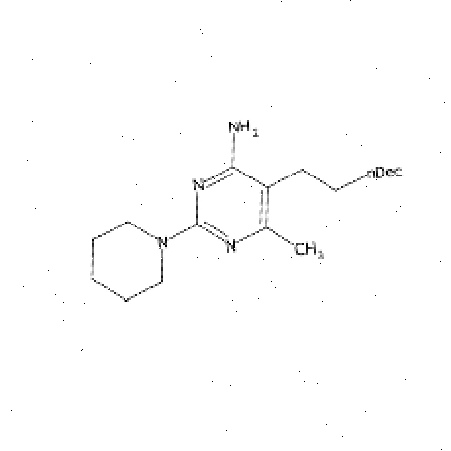 CCCCCCCCCCCCc1c(C)nc(N2CCCCC2)nc1N